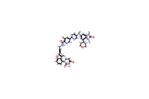 Cc1cc(-c2ncc(N(C)c3cc(C4CCOCC4)c4c(c3)n(C)c(=O)n4C)cn2)cnc1C(=O)NCC#Cc1oc2cccc(N3CCC(=O)NC3=O)c2c1C